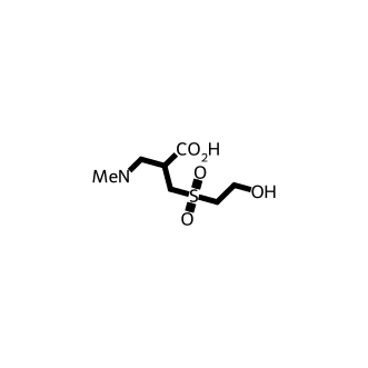 CNCC(CS(=O)(=O)CCO)C(=O)O